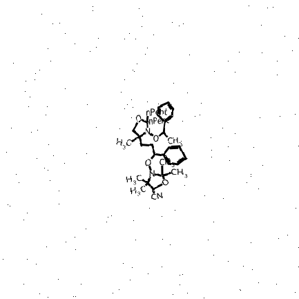 CCCCCC1(CCCCC)OCC(C)(CCC(ON2C(C)(C)OC(C#N)C2(C)C)c2ccccc2)N1OC(C)c1ccccc1